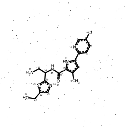 Cc1cc(-c2ccc(Cl)cn2)[nH]c1C(=O)NC(CN)c1ncc(CO)s1